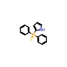 S=P(c1ccccc1)(c1ccccc1)c1ccc[nH]1